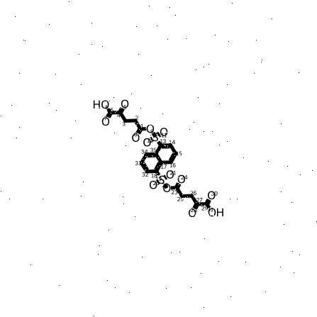 O=C(CCC(=O)C(=O)O)OS(=O)(=O)c1cccc2c(S(=O)(=O)OC(=O)CCC(=O)C(=O)O)cccc12